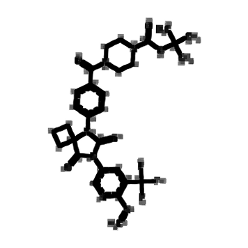 C=Nc1ncc(N2C(=O)C3(CCC3)N(c3ccc(C(=O)N4CCN(C(=O)OC(C)(C)C)CC4)cc3)C2=S)cc1C(F)(F)F